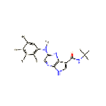 [2H]c1cc(N([2H])c2cnc3[nH]cc(C(=O)NC(C)(C)C)c3n2)c([2H])c([2H])c1[2H]